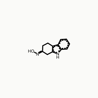 O/N=C1\CCc2c([nH]c3ccccc23)C1